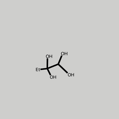 CCC(O)(O)[C](O)O